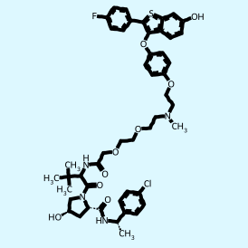 C[C@H](NC(=O)[C@@H]1C[C@@H](O)CN1C(=O)C(NC(=O)COCCOCCN(C)CCOc1ccc(Oc2c(-c3ccc(F)cc3)sc3cc(O)ccc23)cc1)C(C)(C)C)c1ccc(Cl)cc1